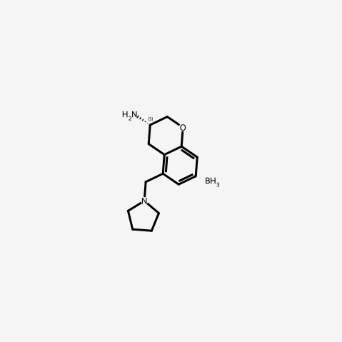 B.N[C@@H]1COc2cccc(CN3CCCC3)c2C1